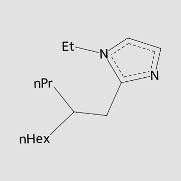 CCCCCCC(CCC)Cc1nccn1CC